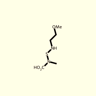 COCCNSN(C)C(=O)O